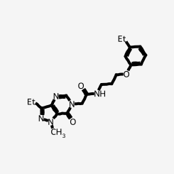 CCc1cccc(OCCCNC(=O)Cn2cnc3c(CC)nn(C)c3c2=O)c1